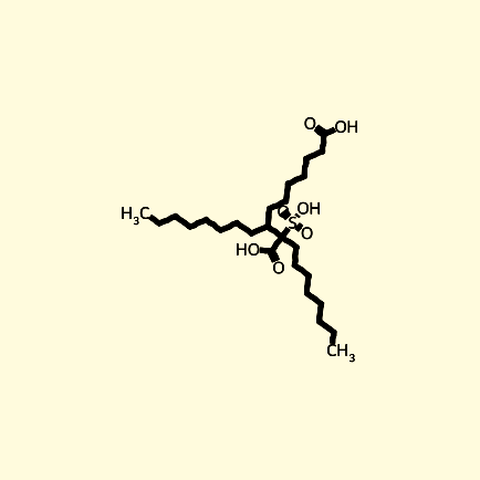 CCCCCCCCC(CCCCCCC(=O)O)C(CCCCCCCC)(C(=O)O)S(=O)(=O)O